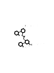 CCCCCOc1ccc(CC(=O)Cc2ccc(OCCCCC)cc2-c2ccccc2O)c(-c2ccccc2O)c1